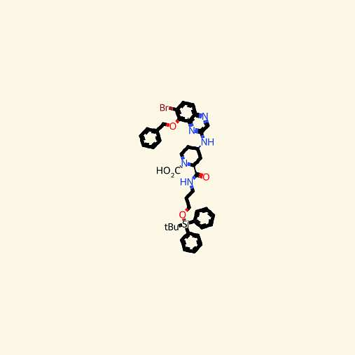 CC(C)(C)[Si](OCCCNC(=O)[C@@H]1C[C@@H](Nc2cnc3ccc(Br)c(OCc4ccccc4)c3n2)CCN1C(=O)O)(c1ccccc1)c1ccccc1